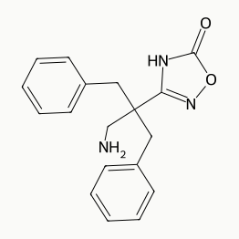 NCC(Cc1ccccc1)(Cc1ccccc1)c1noc(=O)[nH]1